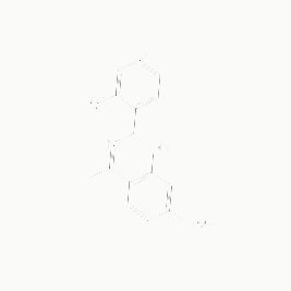 COc1ccc(/C(C)=N\Cc2ccccc2N)c(O)c1